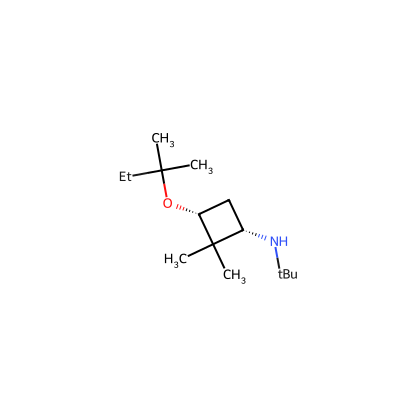 CCC(C)(C)O[C@@H]1C[C@H](NC(C)(C)C)C1(C)C